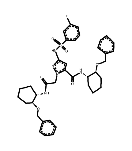 O=C(Cn1nc(NS(=O)(=O)c2cccc(F)c2)cc1C(=O)N[C@H]1CCCC[C@@H]1OCc1ccccc1)N[C@H]1CCCC[C@@H]1OCc1ccccc1